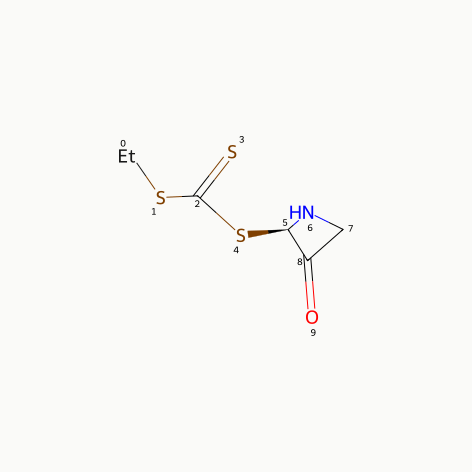 CCSC(=S)S[C@H]1NCC1=O